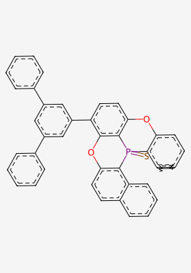 S=P12c3c(ccc(-c4cc(-c5ccccc5)cc(-c5ccccc5)c4)c3Oc3ccc4ccccc4c31)Oc1ccc3ccccc3c12